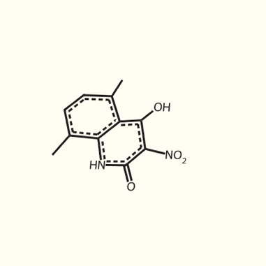 Cc1ccc(C)c2c(O)c([N+](=O)[O-])c(=O)[nH]c12